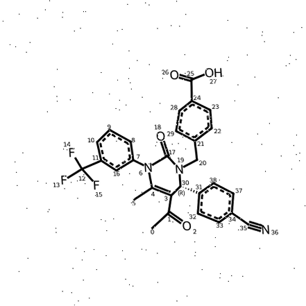 CC(=O)C1=C(C)N(c2cccc(C(F)(F)F)c2)C(=O)N(Cc2ccc(C(=O)O)cc2)[C@@H]1c1ccc(C#N)cc1